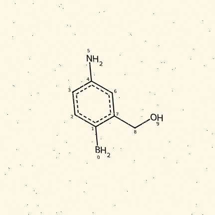 Bc1ccc(N)cc1CO